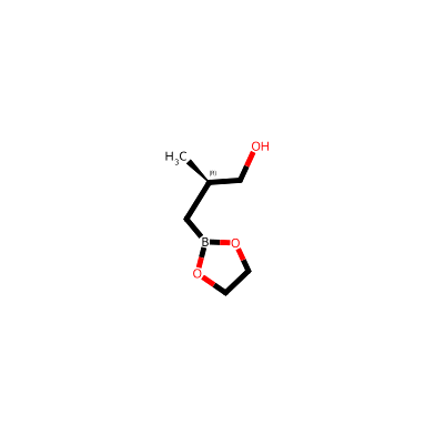 C[C@@H](CO)CB1OCCO1